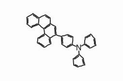 c1ccc(N(c2ccccc2)c2ccc(-c3cc4ccc5ccccc5c4c4ccccc34)cc2)cc1